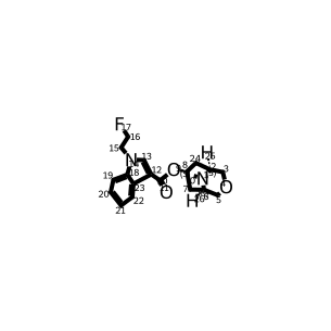 CN1[C@@H]2COC[C@H]1C[C@@H](OC(=O)c1cn(CCF)c3ccccc13)C2